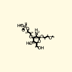 COCCOC1OC(CO)C(O)C(OCCOP(C)(=O)O)C1N